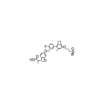 Cc1cc(OCCCS(C)(=O)=O)c2c(c1-c1ccc(F)c(COc3ccc4c(c3)OC[C@H]4C(C)C(=O)O)c1)CC2